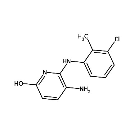 Cc1c(Cl)cccc1Nc1nc(O)ccc1N